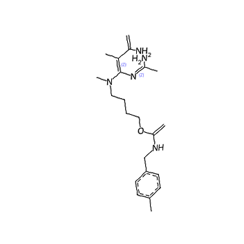 C=C(NCc1ccc(C)cc1)OCCCCN(C)C(/N=C(/C)N)=C(\C)C(=C)N